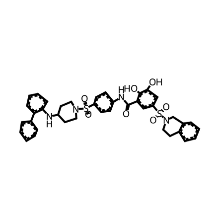 O=C(Nc1ccc(S(=O)(=O)N2CCC(Nc3ccccc3-c3ccccc3)CC2)cc1)c1cc(S(=O)(=O)N2CCc3ccccc3C2)cc(O)c1O